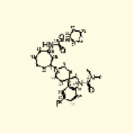 CN(C)C(=O)N1CC2(CCN(C3CCCCC(NC(=O)O[C@@H]4CCOC4)C3)CC2)c2cc(F)ccc21